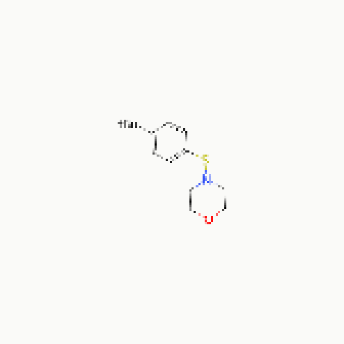 CC(C)(C)c1ccc(SN2CCOCC2)cc1